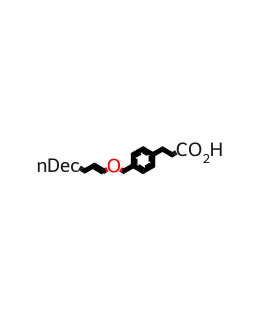 CCCCCCCCCCCC=COCc1ccc(CCC(=O)O)cc1